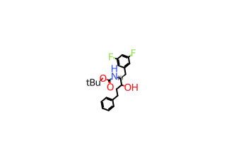 CC(C)(C)OC(=O)N[C@@H](Cc1cc(F)cc(F)c1)C(O)CCc1ccccc1